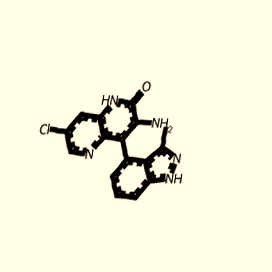 Cc1n[nH]c2cccc(-c3c(N)c(=O)[nH]c4cc(Cl)cnc34)c12